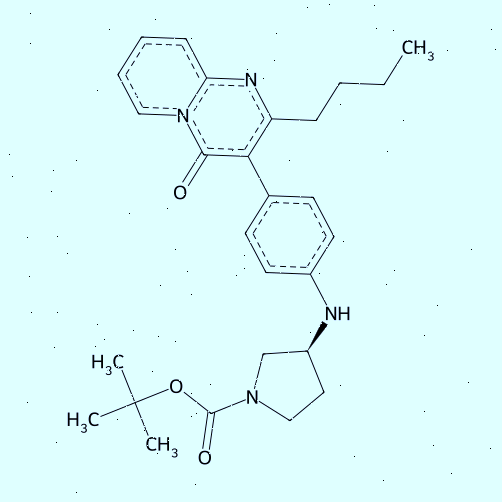 CCCCc1nc2ccccn2c(=O)c1-c1ccc(N[C@H]2CCN(C(=O)OC(C)(C)C)C2)cc1